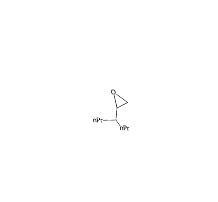 CCCC(CCC)C1CO1